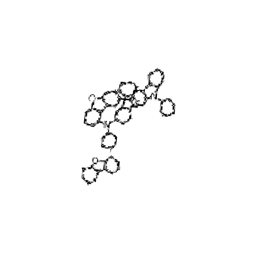 c1ccc(-n2c3ccccc3c3cc(-c4ccc5oc6cccc(N(c7ccc(-c8cccc9c8oc8ccccc89)cc7)c7ccc8sc9ccccc9c8c7)c6c5c4)ccc32)cc1